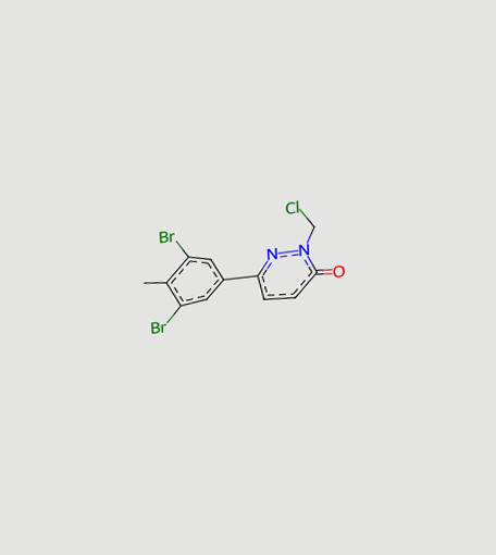 Cc1c(Br)cc(-c2ccc(=O)n(CCl)n2)cc1Br